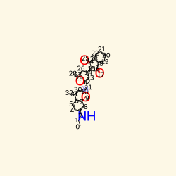 CCNc1ccc2c(c1)O/C(=C/C1=CC(=C3C(=O)c4ccccc4C3=O)C=C(C)O1)C=C2C